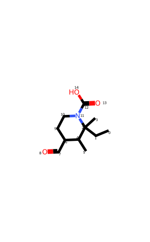 CCC1(C)C(C)C(C=O)CCN1C(=O)O